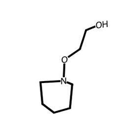 OCCON1CCCCC1